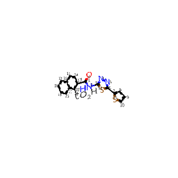 O=C(Nc1nnc(-c2cccs2)s1)c1ccc2ccccc2c1C(=O)O